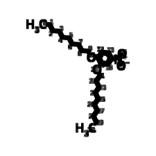 CCCCCCCCCCOc1ccc([N+](=O)[O-])cc1OCCCCCCCCCC